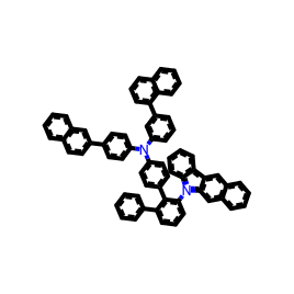 c1ccc(-c2cccc(-n3c4ccccc4c4cc5ccccc5cc43)c2-c2ccc(N(c3ccc(-c4ccc5ccccc5c4)cc3)c3cccc(-c4cccc5ccccc45)c3)cc2)cc1